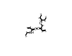 C=CC(=C=C=C(C=C)NCC)COC(CC)CC